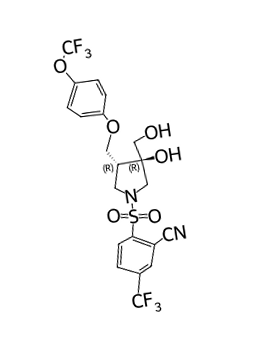 N#Cc1cc(C(F)(F)F)ccc1S(=O)(=O)N1C[C@H](COc2ccc(OC(F)(F)F)cc2)[C@](O)(CO)C1